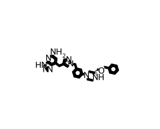 Nc1cc(Cc2cnn(Cc3cccc(N4CCN[C@@H](COCc5ccccc5)C4)c3)c2)c2nn[nH]c2n1